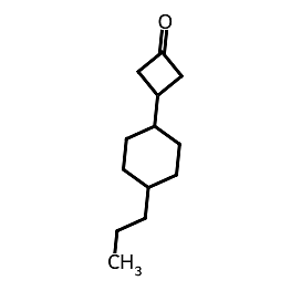 CCCC1CCC(C2CC(=O)C2)CC1